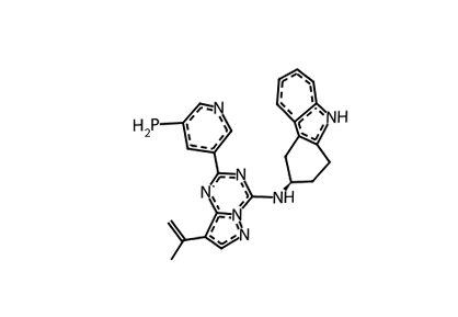 C=C(C)c1cnn2c(N[C@@H]3CCc4[nH]c5ccccc5c4C3)nc(-c3cncc(P)c3)nc12